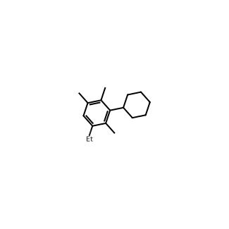 CCc1cc(C)c(C)c(C2CCCCC2)c1C